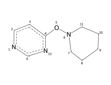 [c]1nccc(ON2CCCCC2)n1